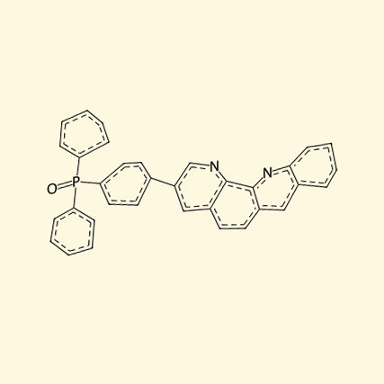 O=P(c1ccccc1)(c1ccccc1)c1ccc(-c2cnc3c(ccc4cc5ccccc5nc43)c2)cc1